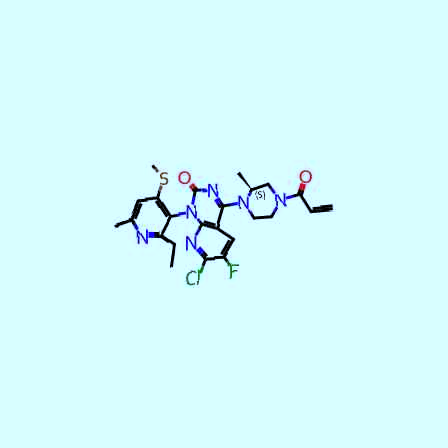 C=CC(=O)N1CCN(c2nc(=O)n(-c3c(SC)cc(C)nc3CC)c3nc(Cl)c(F)cc23)[C@@H](C)C1